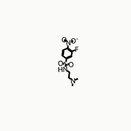 CN(C)CCNS(=O)(=O)c1ccc([N+](=O)[O-])c(F)c1